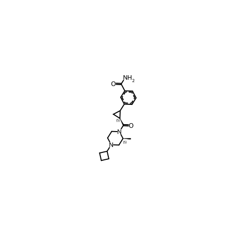 C[C@H]1CN(C2CCC2)CCN1C(=O)[C@H]1CC1c1cccc(C(N)=O)c1